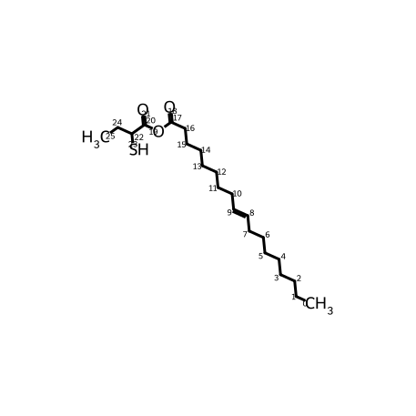 CCCCCCCCC=CCCCCCCCC(=O)OC(=O)C(S)CC